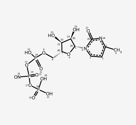 Cc1ccn([C@@H]2O[C@H](COP(=O)(O)OP(=O)(N=O)OP(=O)(O)O)[C@@H](O)[C@H]2O)c(=O)n1